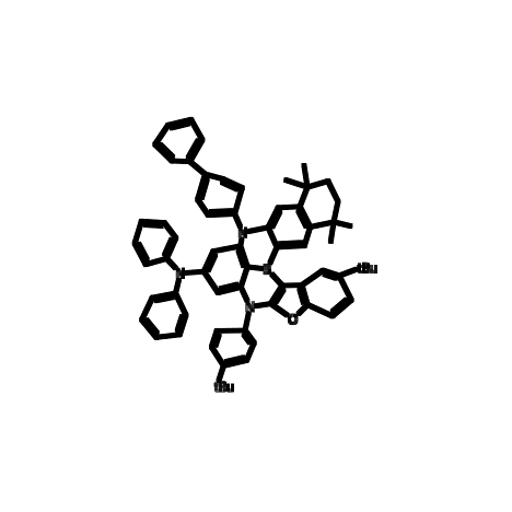 CC(C)(C)c1ccc(N2c3cc(N(c4ccccc4)c4ccccc4)cc4c3B(c3cc5c(cc3N4c3ccc(-c4ccccc4)cc3)C(C)(C)CCC5(C)C)c3c2oc2ccc(C(C)(C)C)cc32)cc1